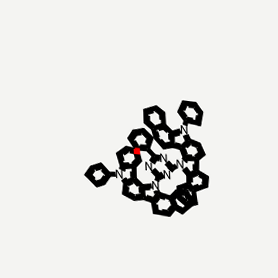 c1ccc(-c2nc(-n3c4c5ccccc5ccc4c4ccc5c(c6ccccc6n5-c5ccccc5)c43)nc(-n3c4c5ccccc5ccc4c4ccc5c(c6ccc7ccccc7c6n5-c5ccccc5)c43)n2)cc1